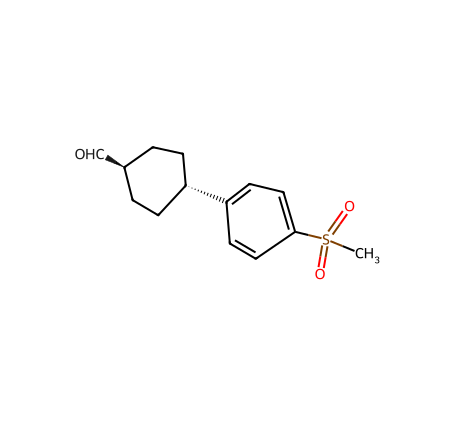 CS(=O)(=O)c1ccc([C@H]2CC[C@H](C=O)CC2)cc1